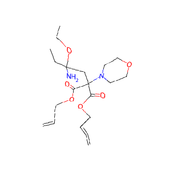 C=CCOC(=O)C(CC(N)(CC)OCC)(C(=O)OCC=C)N1CCOCC1